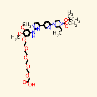 CCC1CN(c2ccc(-c3ccnc(Nc4cc(OC)c(OC)c(OCCOCCOCCOCCOCC(=O)O)c4)n3)cn2)CCN1C(=O)OC(C)(C)C